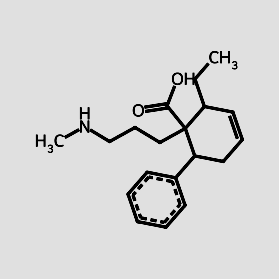 CCC1C=CCC(c2ccccc2)C1(CCCNC)C(=O)O